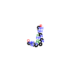 COc1nc(-c2cccc(-c3nccc(Nc4nccc(CNC[C@H]5CCC(=O)N5)c4F)c3Cl)c2Cl)ccc1CNC[C@@H]1CCC(=O)N1